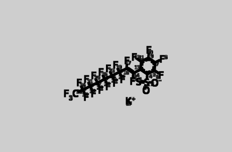 O=S([O-])(=S)c1c(F)c(F)c(F)c(F)c1C(F)=C(F)C(F)(F)C(F)(F)C(F)(F)C(F)(F)C(F)(F)C(F)(F)C(F)(F)F.[K+]